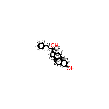 C[C@]12CC[C@H]3[C@@H](CCC4C[C@@H](O)CC[C@@]43C)[C@@H]1CC[C@@H]2[C@](O)(CCc1ccccc1)C(F)(F)F